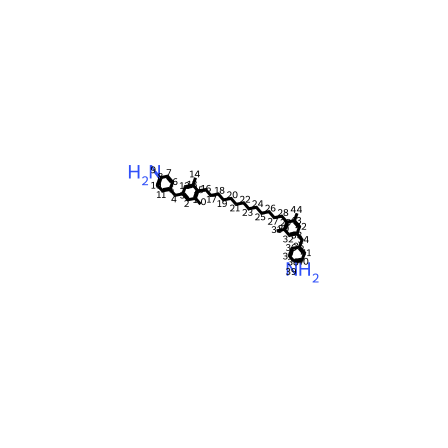 Cc1cc(Cc2ccc(N)cc2)cc(C)c1CCCCCCCCCCCCCc1c(C)cc(Cc2ccc(N)cc2)cc1C